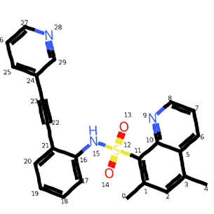 Cc1cc(C)c2cccnc2c1S(=O)(=O)Nc1ccccc1C#Cc1cccnc1